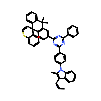 C/C=C\c1c(C)n(-c2ccc(-c3nc(-c4ccccc4)nc(-c4ccc5c(c4)C(C)(C)c4ccccc4C54c5ccccc5Sc5ccccc54)n3)cc2)c2ccccc12